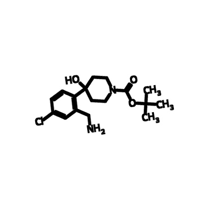 CC(C)(C)OC(=O)N1CCC(O)(c2ccc(Cl)cc2CN)CC1